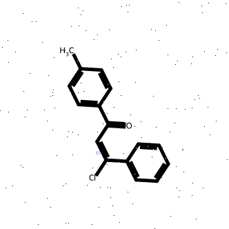 Cc1ccc(C(=O)/C=C(/Cl)c2ccccc2)cc1